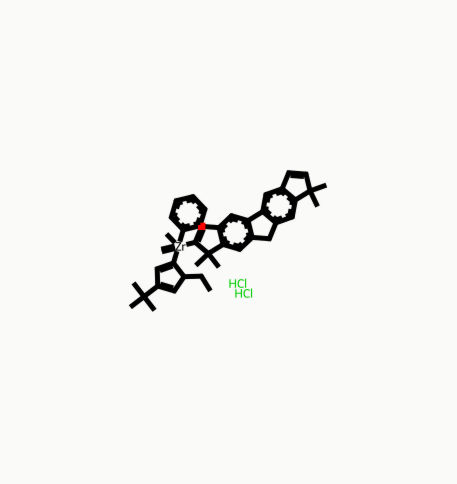 Cl.Cl.[CH2]=[Zr]([CH3])([C]1=CC(C(C)(C)C)=CC1CC)([C]1=Cc2cc3c(cc2C1(C)C)Cc1cc2c(cc1-3)C=CC2(C)C)[c]1ccccc1